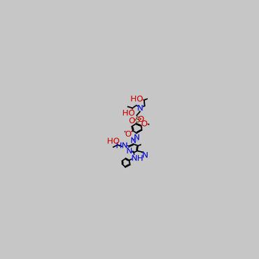 COc1cc(S(=O)(=O)CCN(CC(C)O)CC(C)O)c(OC)cc1/N=N/c1c(NCC(C)O)nc(Nc2ccccc2)c(C#N)c1C